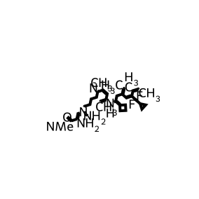 C/C=C\C(=C/C(CC(NC(/C=C\C(CCCCN(N)/C=C(\N)C(=O)NC)=N/C)=C\C)=C1CCC1)=C(C)C)C(F)(F)C1CC1